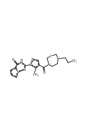 Cc1c(C(=O)N2CCCN(CCC(F)(F)F)CC2)cnn1-c1nn2cccc2c(=O)[nH]1